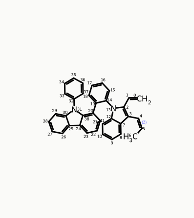 C=Cc1c(/C=C\C)c2ccccc2n1-c1ccccc1-c1cccc2c3ccccc3n(-c3ccccc3)c12